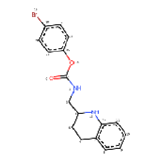 O=C(NCC1CCc2ccccc2N1)Oc1ccc(Br)cc1